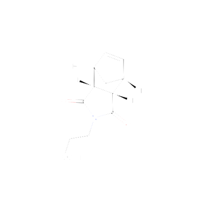 O=C(O)CCN1C(=O)[C@@H]2[C@H](C1=O)[C@H]1C=C[C@H]2C1